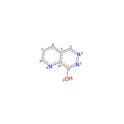 Oc1nncc2cccnc12